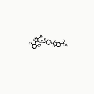 O=C(O)c1ccc2nc(N3CCC(F)(COCc4c(-c5c(Cl)cccc5Cl)noc4C4CC4)CC3)sc2c1